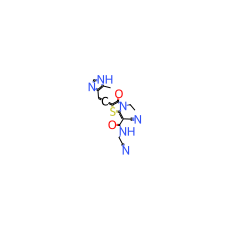 CCn1c(=O)c(=C=Cc2nc[nH]c2C)s/c1=C(/C#N)C(=O)NCC#N